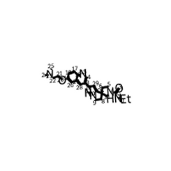 CCNC(=O)N1CCC2(CCn3nc(-c4cnc5ccc(OCCN(C)C)cc5c4)cc32)C1